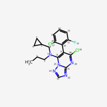 CCCN(CC1CC1)c1c(-c2c(F)cccc2Cl)c(Cl)nc2ncnn12